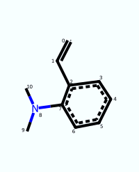 [CH]=Cc1ccccc1N(C)C